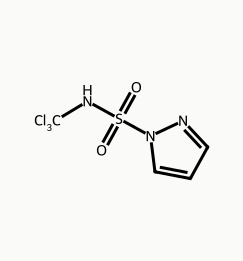 O=S(=O)(NC(Cl)(Cl)Cl)n1cccn1